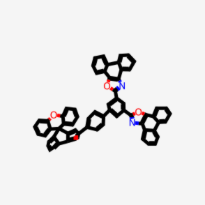 c1ccc2c(c1)Oc1ccccc1C21c2ccccc2-c2ccc(-c3ccc(-c4cc(-c5nc6c7ccccc7c7ccccc7c6o5)cc(-c5nc6c7ccccc7c7ccccc7c6o5)c4)cc3)cc21